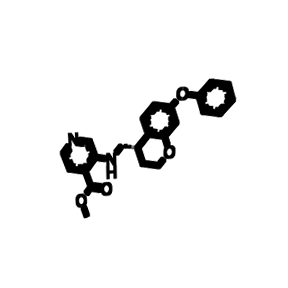 COC(=O)c1ccncc1NC[C@H]1CCOc2cc(Oc3ccccc3)ccc21